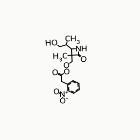 CC(CO)C1NC(=O)C1(C)COOC(=O)Cc1ccccc1[N+](=O)[O-]